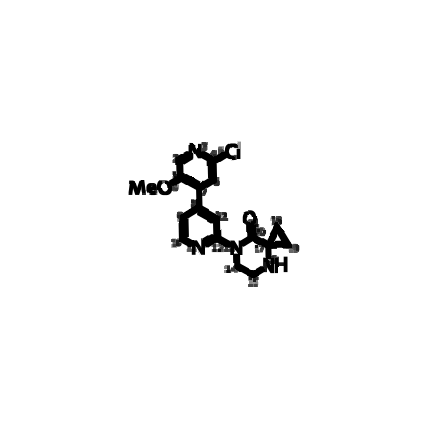 COc1cnc(Cl)cc1-c1ccnc(N2CCNC3(CC3)C2=O)c1